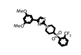 COc1cc(OC)cc(-c2csc(N3CCC(S(=O)(=O)c4ccccc4C(F)(F)F)CC3)n2)c1